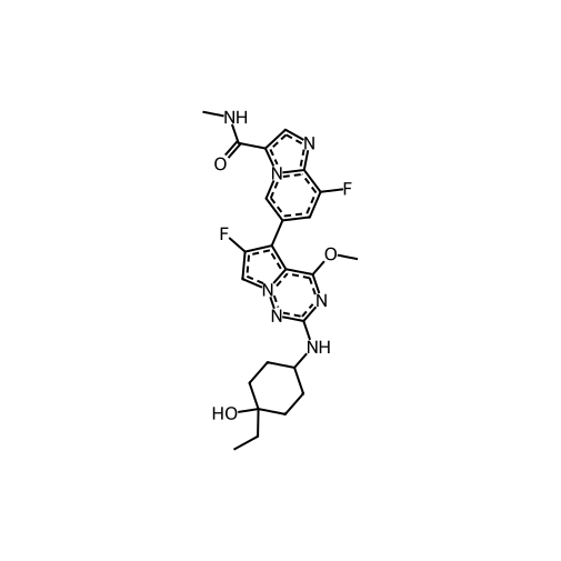 CCC1(O)CCC(Nc2nc(OC)c3c(-c4cc(F)c5ncc(C(=O)NC)n5c4)c(F)cn3n2)CC1